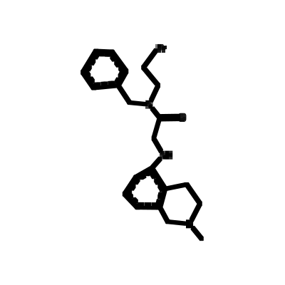 CC(C)CCN(Cc1ccccc1)C(=O)CNc1cccc2c1CCN(C)C2